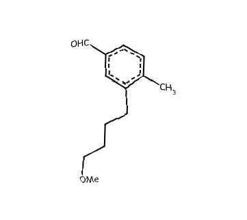 COCCCCc1cc(C=O)ccc1C